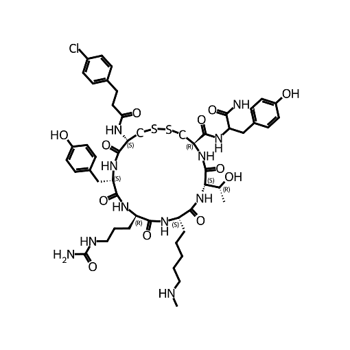 CNCCCCC[C@@H]1NC(=O)[C@@H](CCCNC(N)=O)NC(=O)[C@H](Cc2ccc(O)cc2)NC(=O)[C@H](NC(=O)CCc2ccc(Cl)cc2)CSSC[C@@H](C(=O)NC(Cc2ccc(O)cc2)C(N)=O)NC(=O)[C@H]([C@@H](C)O)NC1=O